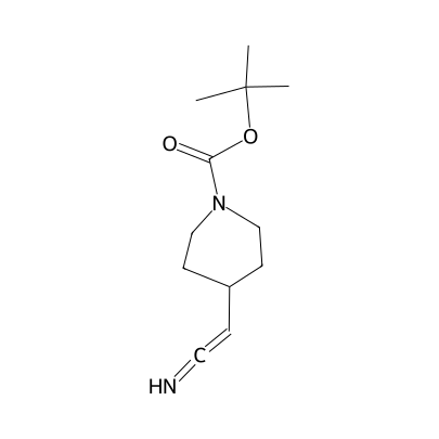 CC(C)(C)OC(=O)N1CCC(C=C=N)CC1